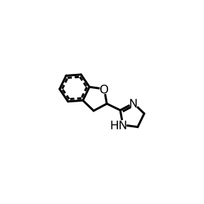 c1ccc2c(c1)CC(C1=NCCN1)O2